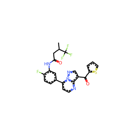 CC(CC(=O)Nc1cc(-c2ccnc3c(C(=O)c4cccs4)cnn23)ccc1F)C(F)(F)F